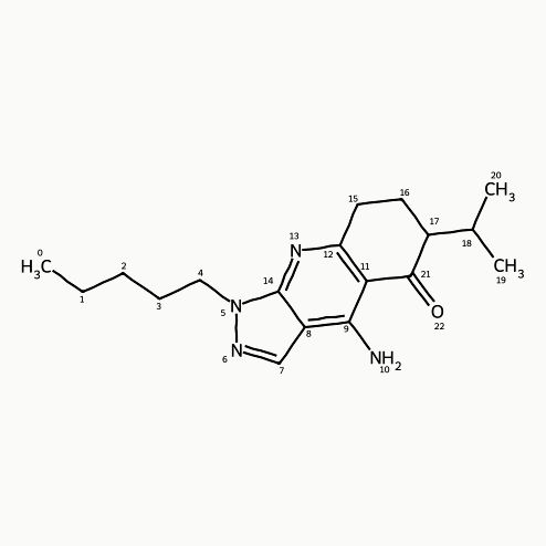 CCCCCn1ncc2c(N)c3c(nc21)CCC(C(C)C)C3=O